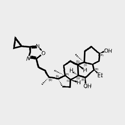 CC[C@@H]1C2C[C@H](O)CC[C@]2(C)[C@H]2CC[C@]3(C)[C@@H]([C@H](C)CCc4nc(C5CC5)no4)CC[C@H]3[C@@H]2[C@@H]1O